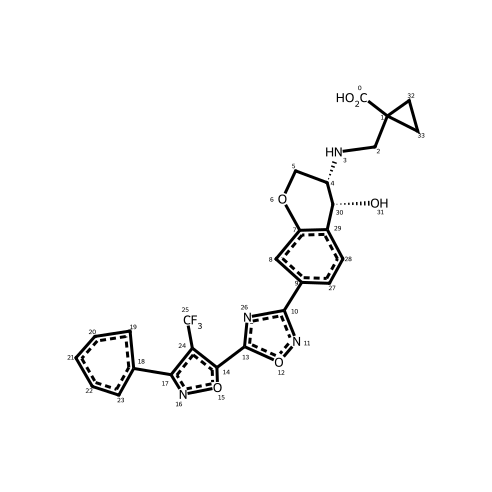 O=C(O)C1(CN[C@H]2COc3cc(-c4noc(-c5onc(-c6ccccc6)c5C(F)(F)F)n4)ccc3[C@H]2O)CC1